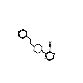 N#Cc1nccnc1N1CCN(CCc2ccccc2)CC1